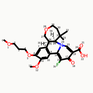 COCCCOc1cc2c(cc1OC)-c1c(F)c(=O)c(C(=O)O)cn1[C@H]1[C@@H]2COCCC1(C)C